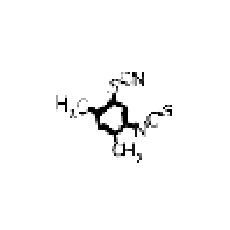 Cc1cc(C)c(SC#N)cc1N=C=S